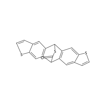 O=C1SC2c3cc4sccc4cc3C1c1cc3sccc3cc12